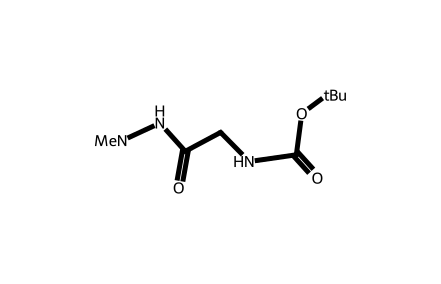 CNNC(=O)CNC(=O)OC(C)(C)C